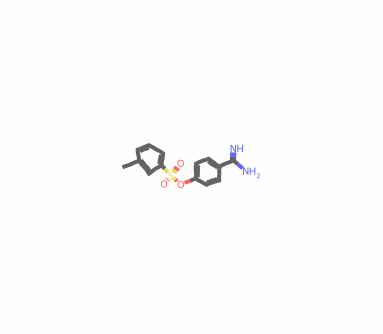 Cc1cccc(S(=O)(=O)Oc2ccc(C(=N)N)cc2)c1